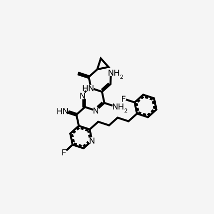 C=C(NC(=C\N)/C(N)=N\C(=N/C)C(=N)c1cc(F)cnc1CCCCc1ccccc1F)C1CC1